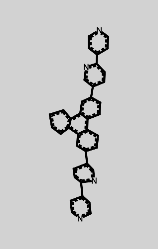 c1ccc2c(c1)c1cc(-c3ccc(-c4ccncc4)nc3)ccc1c1ccc(-c3ccc(-c4ccncc4)nc3)cc21